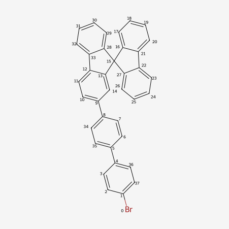 Brc1ccc(-c2ccc(-c3ccc4c(c3)C3(c5ccccc5-c5ccccc53)c3ccccc3-4)cc2)cc1